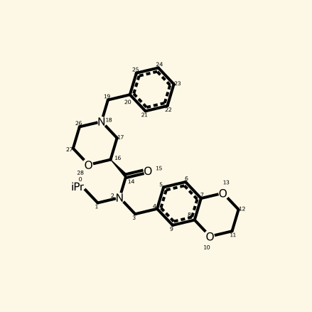 CC(C)CN(Cc1ccc2c(c1)OCCO2)C(=O)[C@@H]1CN(Cc2ccccc2)CCO1